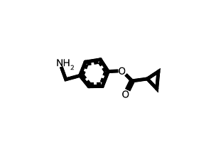 NCc1ccc(OC(=O)C2CC2)cc1